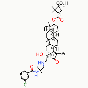 CC(C)C1=C2[C@H]3CC[C@@H]4[C@@]5(C)CC[C@H](OC(=O)[C@H]6C[C@@H](C(=O)O)C6(C)C)C(C)(C)[C@@H]5CC[C@@]4(C)[C@]3(C)CC[C@@]2([C@@H](O)CNCC(C)(C)NC(=O)c2cccc(Cl)c2)CC1=O